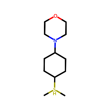 C[SH](C)C1CCC(N2CCOCC2)CC1